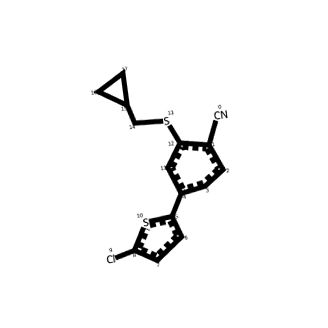 N#Cc1ccc(-c2ccc(Cl)s2)cc1SCC1CC1